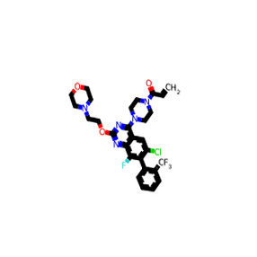 C=CC(=O)N1CCN(c2nc(OCCN3CCOCC3)nc3c(F)c(-c4ccccc4C(F)(F)F)c(Cl)cc23)CC1